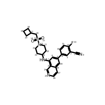 N#Cc1cc(-c2cc(NC3CCN(S(=O)(=O)CC4CCC4)CC3)c3cnccc3c2)ccc1F